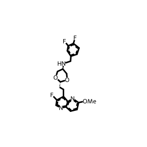 COc1ccc2ncc(F)c(CC[C@H]3OC[C@H](NCc4ccc(F)c(F)c4)CO3)c2n1